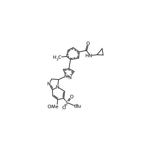 COC1=CC2=NCC(n3cc(-c4cc(C(=O)NC5CC5)ccc4C)cn3)N2C=C1S(=O)(=O)C(C)(C)C